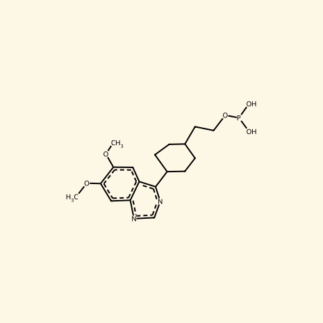 COc1cc2ncnc(C3CCC(CCOP(O)O)CC3)c2cc1OC